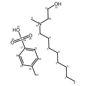 CCCCCCCCN(C)CCO.Cc1ccc(S(=O)(=O)O)cc1